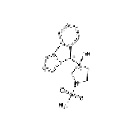 CS(=O)(=O)N1CC[C@@](O)([C@@H]2c3ccccc3-c3cncn32)C1